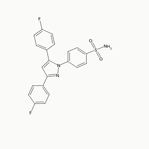 NS(=O)(=O)c1ccc(-n2nc(-c3ccc(F)cc3)cc2-c2ccc(F)cc2)cc1